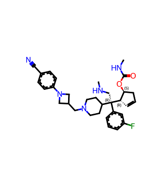 CNC[C@](c1cccc(F)c1)(C1CCN(CC2CN(c3ccc(C#N)cc3)C2)CC1)[C@H]1C=CC[C@@H]1OC(=O)NC